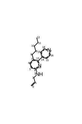 C=CCNc1ccc(CCCCC)c(-c2ccncc2)n1